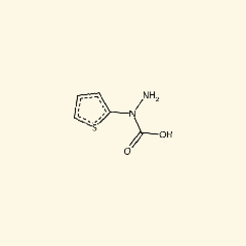 NN(C(=O)O)c1cccs1